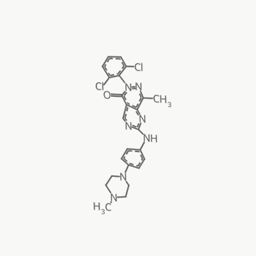 Cc1nn(-c2c(Cl)cccc2Cl)c(=O)c2cnc(Nc3ccc(N4CCN(C)CC4)cc3)nc12